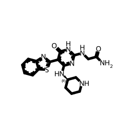 NC(=O)CNc1nc(N[C@@H]2CCCNC2)c(-c2nc3ccccc3s2)c(=O)[nH]1